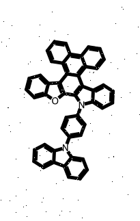 c1ccc2c(c1)oc1c2c2c3ccccc3c3ccccc3c2c2c3ccccc3n(-c3ccc(-n4c5ccccc5c5ccccc54)cc3)c12